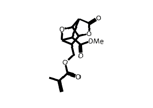 C=C(C)C(=O)OCC1C2OC(=O)C3C2OC1C3C(=O)OC